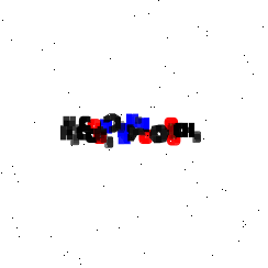 CC(C)(C)OC(=O)N1CCC[C@H](n2ncc3c(Oc4ccc(S(C)(=O)=O)cc4)ncnc32)C1